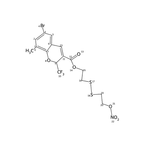 Cc1cc(Br)cc2c1OC(C(F)(F)F)C(C(=O)OCCSSCCO[N+](=O)[O-])=C2